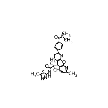 Cc1ccc2c(n1)Oc1nc(-c3ccc(C(=O)N(C)C)cc3)ccc1[C@H]2C(C)(C)C(=O)Nc1nnc(C)s1